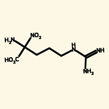 N=C(N)NCCCC(N)(C(=O)O)[N+](=O)[O-]